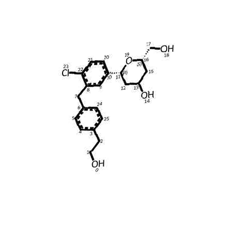 OCCc1ccc(Cc2cc([C@H]3CC(O)C[C@@H](CO)O3)ccc2Cl)cc1